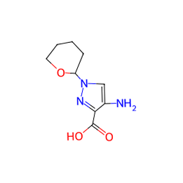 Nc1cn(C2CCCCO2)nc1C(=O)O